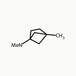 CNC12CCC(C)(C1)C2